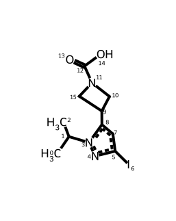 CC(C)n1nc(I)cc1C1CN(C(=O)O)C1